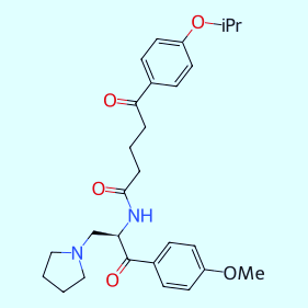 COc1ccc(C(=O)[C@@H](CN2CCCC2)NC(=O)CCCC(=O)c2ccc(OC(C)C)cc2)cc1